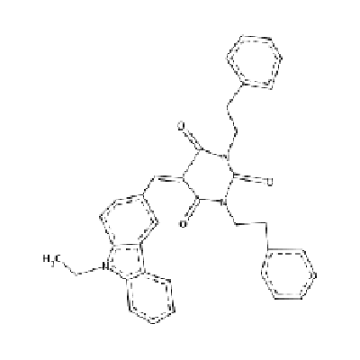 CCn1c2ccccc2c2cc(C=C3C(=O)N(CCc4ccccc4)C(=O)N(CCc4ccccc4)C3=O)ccc21